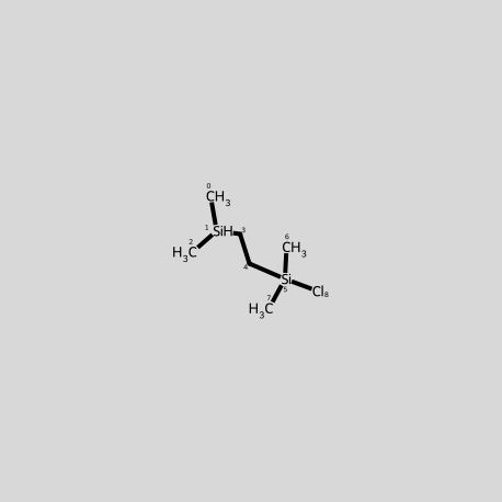 C[SiH](C)CC[Si](C)(C)Cl